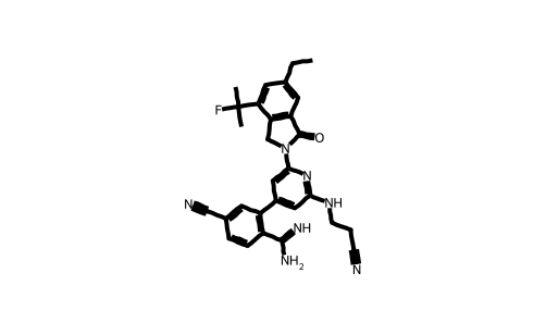 CCc1cc2c(c(C(C)(C)F)c1)CN(c1cc(-c3cc(C#N)ccc3C(=N)N)cc(NCCC#N)n1)C2=O